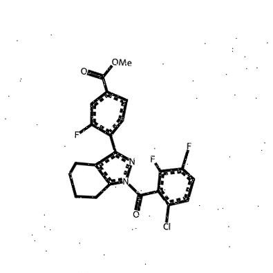 COC(=O)c1ccc(-c2nn(C(=O)c3c(Cl)ccc(F)c3F)c3c2CCCC3)c(F)c1